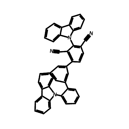 N#Cc1ccc(-c2cccc(-c3ccccc3-n3c4ccccc4c4ccccc43)c2)c(C#N)c1-n1c2ccccc2c2ccccc21